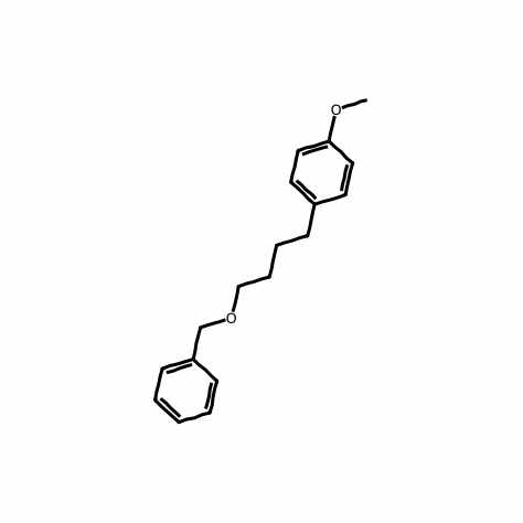 COc1ccc(CCCCOCc2ccccc2)cc1